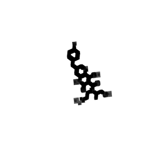 CC(CO)N(CCN)C(=O)c1c(O)c2ncc(Cc3ccc(F)cc3)cc2[nH]c1=O